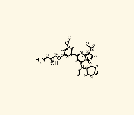 CCN(c1cc(-c2cc(OC)cc(OCC(O)CN)c2)nc2c(C(C)C)cnn12)C1CCOCC1